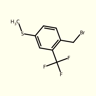 CSc1ccc(CBr)c(C(F)(F)F)c1